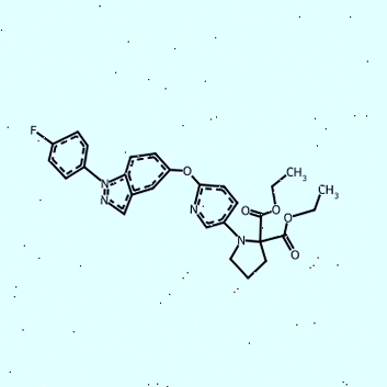 CCOC(=O)C1(C(=O)OCC)CCCN1c1ccc(Oc2ccc3c(cnn3-c3ccc(F)cc3)c2)nc1